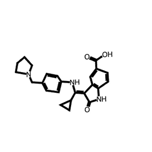 O=C1Nc2ccc(C(=O)O)cc2C1=C(Nc1ccc(CN2CCCC2)cc1)C1CC1